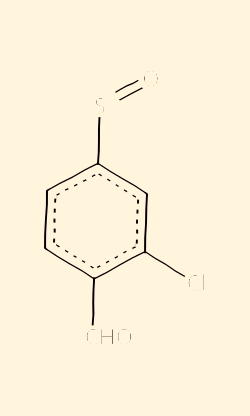 O=Cc1ccc([S+]=O)cc1Cl